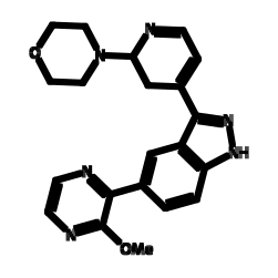 COc1nccnc1-c1ccc2[nH]nc(C3=CC=NC(N4CCOCC4)C3)c2c1